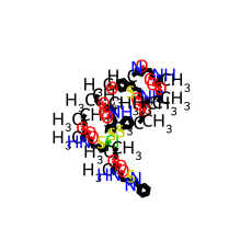 CC(C)COC(=O)[C@H](C)NC(=O)Cc1ccc(Cl)s1.CC(C)COC(=O)[C@H](C)NC(=O)Cc1ccsc1Sc1ccccc1.CC(C)COC(=O)[C@H](C)NC(=O)Cc1nc(-c2ccccc2)ns1.COc1ccc2cc(CC(=O)N[C@@H](C)C(=O)OCC(C)C)sc2c1.Cc1cc(CC(=O)N[C@@H](C)C(=O)OCC(C)C)on1